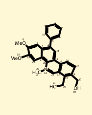 COc1cc2c(-c3ccccc3)cc3c4ccc(CO)c(CO)c4c[n+](C)c3c2cc1OC